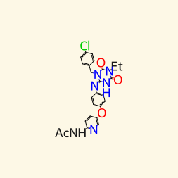 CCn1c(=O)[nH]/c(=N\c2ccc(Oc3ccc(NC(C)=O)nc3)cc2)n(Cc2ccc(Cl)cc2)c1=O